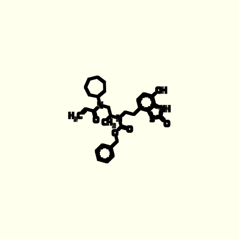 C=CC(=O)N(CC(C)N(CCc1ccc(O)c2[nH]c(=O)sc12)C(=O)OCc1ccccc1)C1CCCCCC1